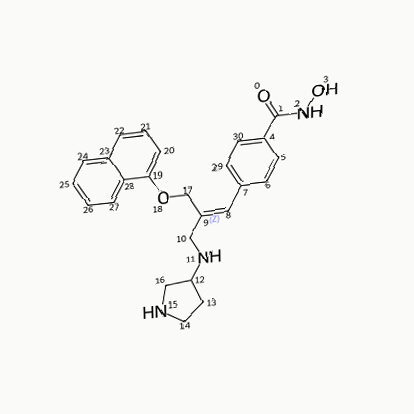 O=C(NO)c1ccc(/C=C(/CNC2CCNC2)COc2cccc3ccccc23)cc1